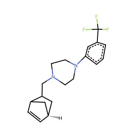 FC(F)(F)c1cccc(N2CCN(CC3C[C@H]4C=CC3C4)CC2)c1